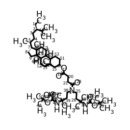 CC[C@H](CC[C@@H](C)[C@H]1CC[C@H]2[C@@H]3CC=C4C[C@@H](OC(=O)CCC(=O)N(CCC(C)(C)NC(=O)OC(C)(C)C)CCC(C)(C)NC(=O)OC(C)(C)C)CC[C@]4(C)[C@H]3CC[C@]12C)C(C)C